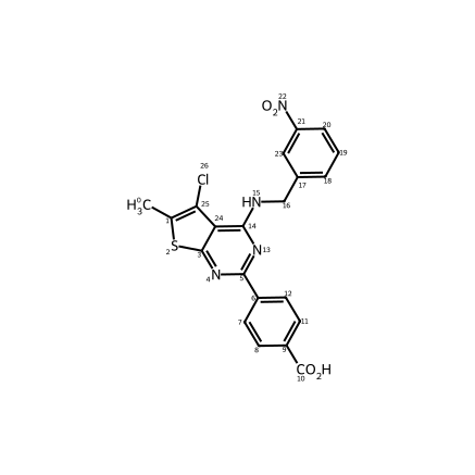 Cc1sc2nc(-c3ccc(C(=O)O)cc3)nc(NCc3cccc([N+](=O)[O-])c3)c2c1Cl